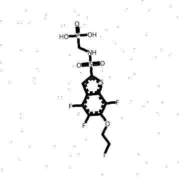 O=P(O)(O)CNS(=O)(=O)c1cc2c(F)c(F)c(OCCI)c(F)c2s1